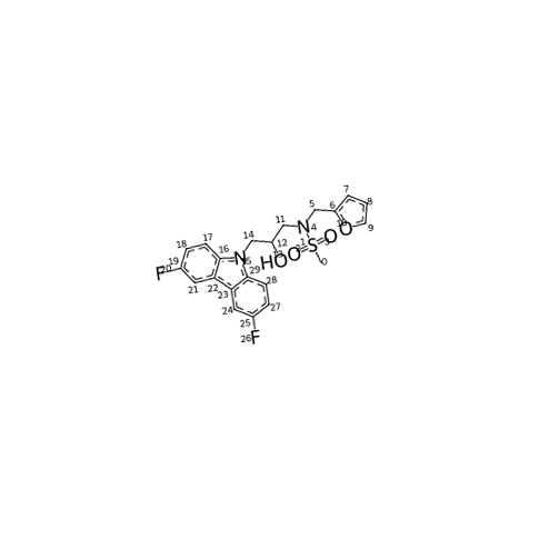 CS(=O)(=O)N(Cc1ccco1)CC(O)Cn1c2ccc(F)cc2c2cc(F)ccc21